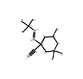 CC1CC(C)(C)CC(C#N)(N=NC(C)(C)C)C1